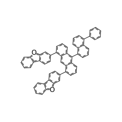 c1ccc(-c2cccc3c(-c4c5cccc(-c6ccc7c(c6)oc6ccccc67)c5cc5c(-c6ccc7c(c6)oc6ccccc67)cccc45)cccc23)cc1